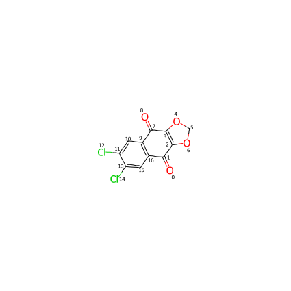 O=C1C2=C(OCO2)C(=O)c2cc(Cl)c(Cl)cc21